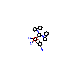 N#Cc1ccc2c(c1)C1c3cc(C#N)ccc3C2c2c(-c3cc(-n4c5ccccc5c5ccccc54)cc(-n4c5ccccc5c5ccccc54)c3)ccc(C#N)c21